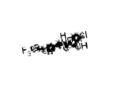 O=C(NC12CC(c3ccc(OCCOC(F)(F)F)nc3)(C1)C2)[C@H]1C[C@@H](O)c2cc(Cl)ccc2O1